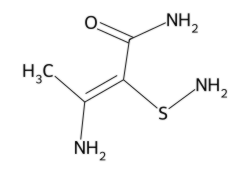 C/C(N)=C(/SN)C(N)=O